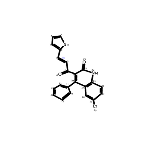 O=C(/C=C/c1cccs1)c1c(-c2ccccc2)c2cc(Cl)ccc2[nH]c1=O